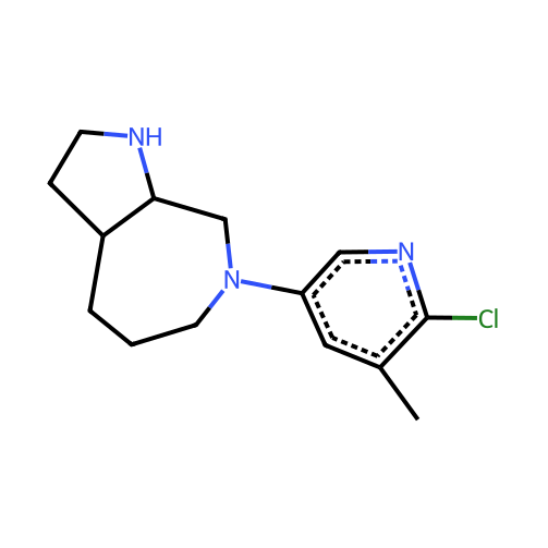 Cc1cc(N2CCCC3CCNC3C2)cnc1Cl